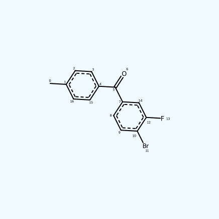 Cc1ccc(C(=O)c2ccc(Br)c(F)c2)cc1